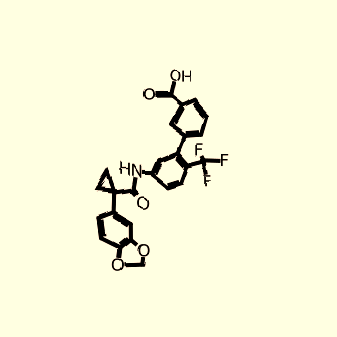 O=C(O)c1cccc(-c2cc(NC(=O)C3(c4ccc5c(c4)OCO5)CC3)ccc2C(F)(F)F)c1